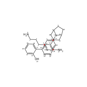 NCCCc1cc(N2C3CCC2CN(c2cc(-c4ccccc4O)nnc2N)C3)ccn1